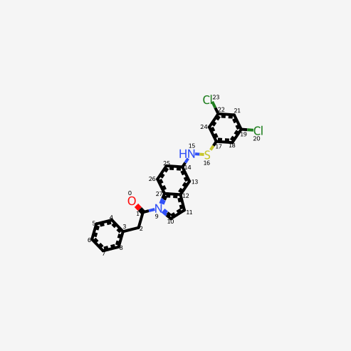 O=C(Cc1ccccc1)n1ccc2cc(NSc3cc(Cl)cc(Cl)c3)ccc21